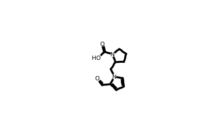 O=Cc1cccn1CC1CCCN1C(=O)O